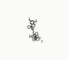 O=C(CCCOC(=O)c1cc(I)cc(I)c1I)NS(=O)(=O)C(F)(F)F